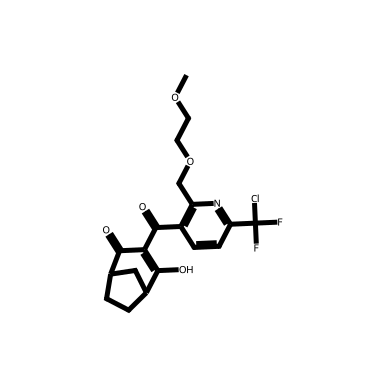 COCCOCc1nc(C(F)(F)Cl)ccc1C(=O)C1=C(O)C2CCC(C2)C1=O